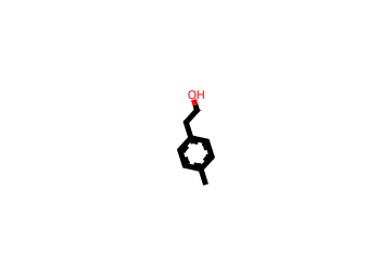 Cc1ccc(C[CH]O)cc1